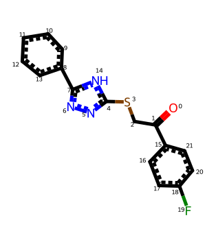 O=C(CSc1nnc(-c2ccccc2)[nH]1)c1ccc(F)cc1